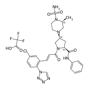 C[C@H]1CN([C@H]2C[C@@H](C(=O)Nc3ccccc3)N(C(=O)C=Cc3cc(Cl)ccc3-n3cnnn3)C2)CCN1S(N)(=O)=O.O=C(O)C(F)(F)F